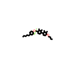 CCCCCc1ccc(OC(F)(F)c2ccc(-c3ccc(OCCCC)c(C)c3C)c(C)c2C)c(F)c1